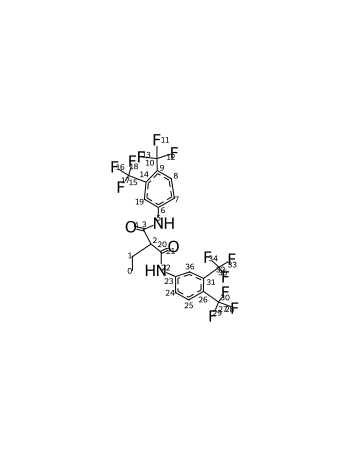 CCC(C(=O)Nc1ccc(C(F)(F)F)c(C(F)(F)F)c1)C(=O)Nc1ccc(C(F)(F)F)c(C(F)(F)F)c1